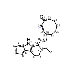 CCN1CCc2c([nH]c3ccccc23)C1CO[C@@H]1/C=C\C(=O)CCCCC1